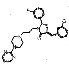 O=C1C(=Cc2cccc(Cl)c2)SC(c2cccc(F)c2)N1CCCN1CCN(c2ncccn2)CC1